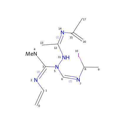 C=C/N=C(/NC)N(/C=N\C(C)I)N/C(C)=N\C(=C)C